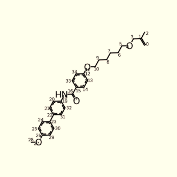 C=C(C)COCCCCCCOc1ccc(C(=O)Nc2ccc(-c3ccc(OC)cc3)cc2)cc1